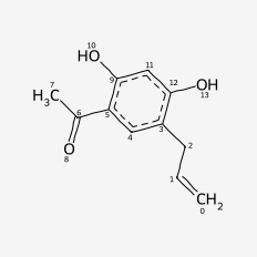 C=CCc1cc(C(C)=O)c(O)cc1O